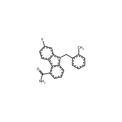 Cc1ccccc1Cn1c2cc(F)c[c]c2c2c(C(N)=O)cccc21